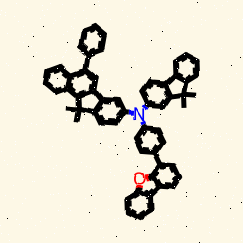 CC1(C)c2ccccc2-c2ccc(N(c3ccc(-c4cccc5c4oc4ccccc45)cc3)c3ccc4c(c3)-c3cc(-c5ccccc5)c5ccccc5c3C4(C)C)cc21